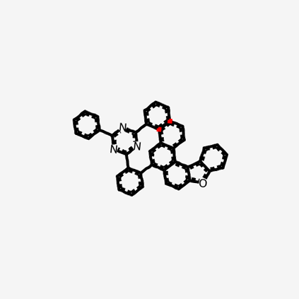 c1ccc(-c2nc(-c3ccccc3)nc(-c3ccccc3-c3cc4ccccc4c4c3ccc3oc5ccccc5c34)n2)cc1